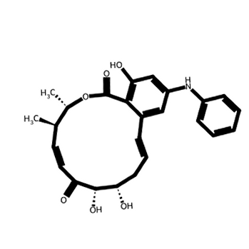 C[C@@H]1/C=C\C(=O)[C@@H](O)[C@@H](O)C/C=C/c2cc(Nc3ccccc3)cc(O)c2C(=O)O[C@H]1C